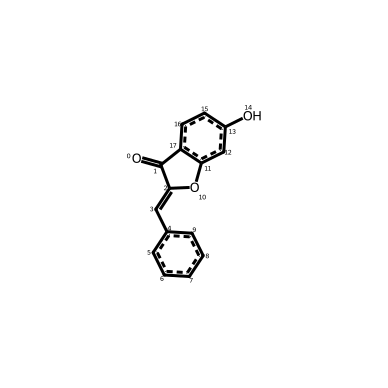 O=C1/C(=C/c2ccccc2)Oc2cc(O)ccc21